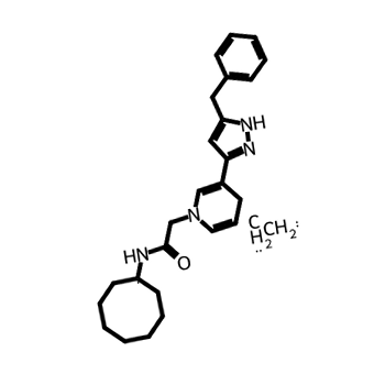 O=C(CN1C=CCC(c2cc(Cc3ccccc3)[nH]n2)=C1)N[C]1CCCCCCC1.[CH2].[CH2]